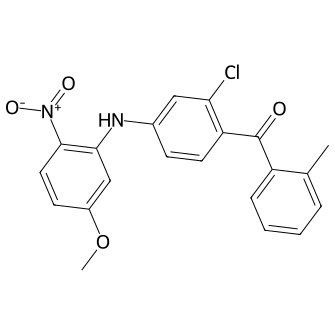 COc1ccc([N+](=O)[O-])c(Nc2ccc(C(=O)c3ccccc3C)c(Cl)c2)c1